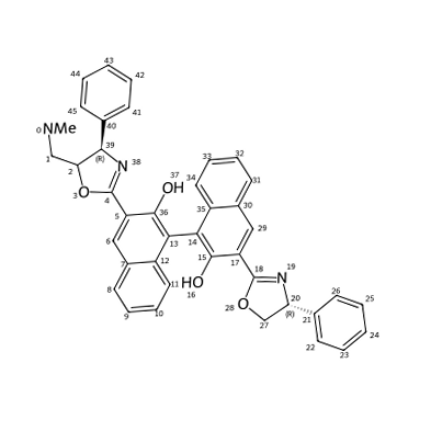 CNCC1OC(c2cc3ccccc3c(-c3c(O)c(C4=N[C@H](c5ccccc5)CO4)cc4ccccc34)c2O)=N[C@@H]1c1ccccc1